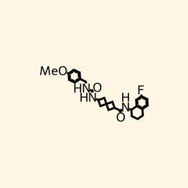 COc1ccc(CNC(=O)NC2CC3(C2)CC(C(=O)NC2CCCc4ccc(F)cc42)C3)cc1